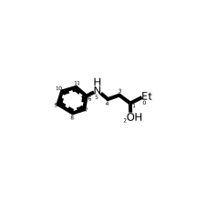 CCC(O)CCNc1ccccc1